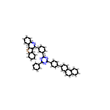 c1ccc(-c2nc(-c3ccc(-c4ccc5c(ccc6ccccc65)c4)cc3)nc(-c3cccc(-c4nc5ccccc5c5sc6ccccc6c45)c3)n2)cc1